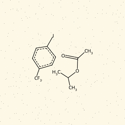 CC(=O)OC(C)C.FC(F)(F)c1ccc(I)cc1